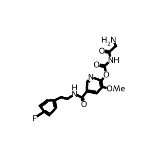 COc1cc(C(=O)NCCc2ccc(F)cc2)cnc1OC(=O)NC(=O)CN